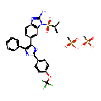 CC(C)S(=O)(=O)n1c(N)nc2ccc(-c3nc(-c4ccc(OC(F)(F)F)cc4)[nH]c3-c3ccccc3)cc21.CS(=O)(=O)O.CS(=O)(=O)O